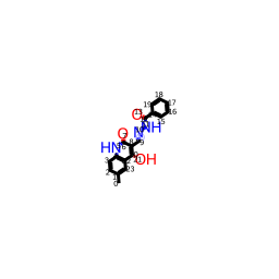 Cc1ccc2[nH]c(=O)c(/C=N/NC(=O)c3ccccc3)c(O)c2c1